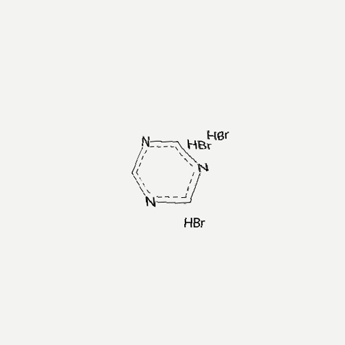 Br.Br.Br.c1ncncn1